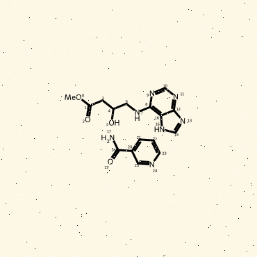 COC(=O)CC(O)CNc1ncnc2nc[nH]c12.NC(=O)c1cccnc1